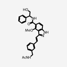 COc1c(C(=O)NC(CO)c2ccccc2)ccc2[nH]nc(C=Cc3cccc(CNC(C)=O)c3)c12